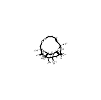 CC(C)[C@H]1NC(=O)[C@H]2CSSCC/C=C/[C@H](CC(=O)NCC(=O)N2)OC(=O)CC1O